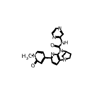 Cn1ccc(-c2ccc3c(n2)N(C(=O)Nc2cnccn2)C2CCN3C2)cc1=O